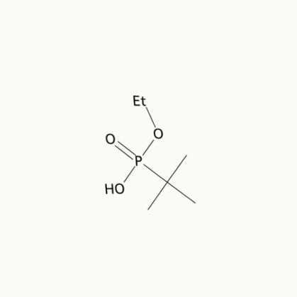 CCOP(=O)(O)C(C)(C)C